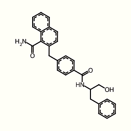 NC(=O)c1c(Cc2ccc(C(=O)NC(CO)Cc3ccccc3)cc2)ccc2ccccc12